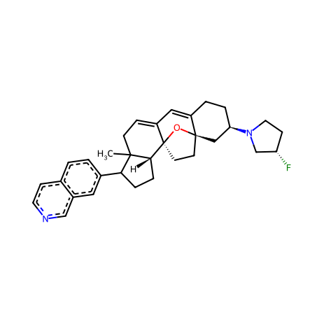 CC12CC=C3C=C4CC[C@@H](N5CC[C@H](F)C5)C[C@]45CC[C@]3(O5)[C@@H]1CCC2c1ccc2ccncc2c1